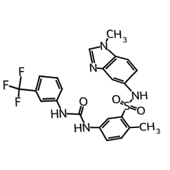 Cc1ccc(NC(=O)Nc2cccc(C(F)(F)F)c2)cc1S(=O)(=O)Nc1ccc2c(c1)ncn2C